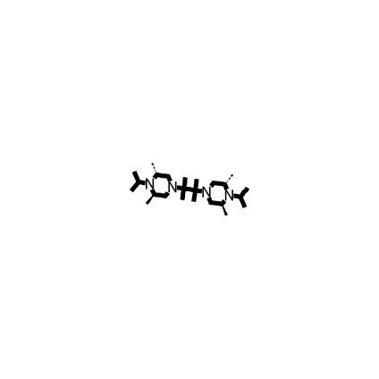 CC(C)N1[C@H](C)CN(C(C)(C)C(C)(C)N2C[C@H](C)N(C(C)C)[C@@H](C)C2)C[C@H]1C